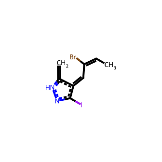 C=c1[nH]nc(I)/c1=C/C(Br)=C\C